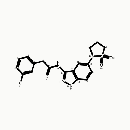 O=C(Cc1cccc(Cl)c1)Nc1n[nH]c2ccc(N3CCCS3(=O)=O)cc12